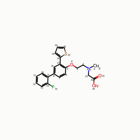 CN(CCOc1ccc(-c2ccccc2F)cc1-c1cccs1)CC(=O)O